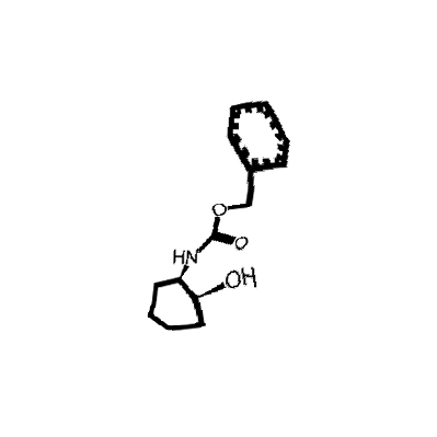 O=C(N[C@@H]1CCCC[C@@H]1O)OCc1ccccc1